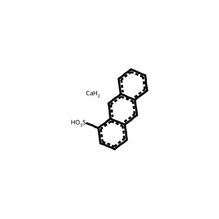 O=S(=O)(O)c1cccc2cc3ccccc3cc12.[CaH2]